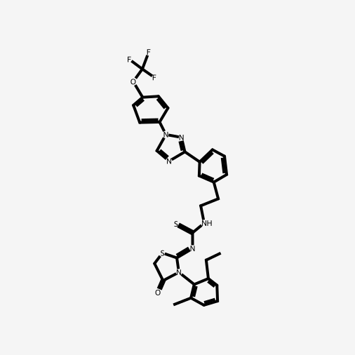 CCc1cccc(C)c1N1C(=O)CS/C1=N\C(=S)NCCc1cccc(-c2ncn(-c3ccc(OC(F)(F)F)cc3)n2)c1